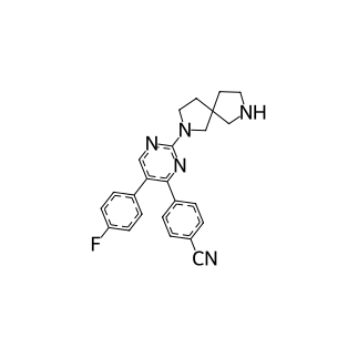 N#Cc1ccc(-c2nc(N3CCC4(CCNC4)C3)ncc2-c2ccc(F)cc2)cc1